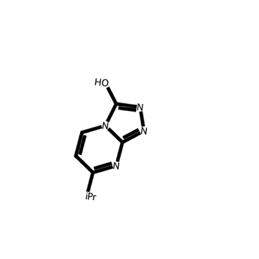 CC(C)c1ccn2c(O)nnc2n1